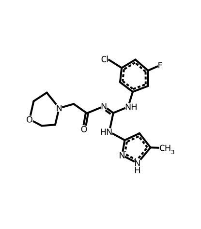 Cc1cc(N/C(=N\C(=O)CN2CCOCC2)Nc2cc(F)cc(Cl)c2)n[nH]1